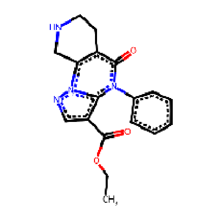 CCOC(=O)c1cnn2c3c(c(=O)n(-c4ccccc4)c12)CCNC3